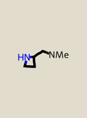 CNCC1CCN1